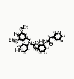 CCOc1cc(CN(c2nc3cccc(NC(=O)Cc4cccnc4)c3o2)C2CCNCC2)cc(OCC)c1F